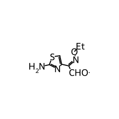 CCO/N=C(/[C]=O)c1csc(N)n1